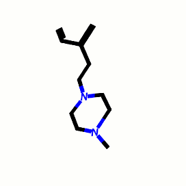 C=CC(=C)CCN1CCN(C)CC1